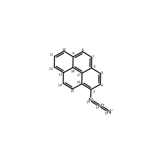 [N-]=[N+]=Nc1ccc2ccc3cccc4ccc1c2c34